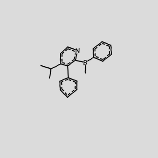 CB(c1ccccc1)c1nccc(C(C)C)c1-c1ccccc1